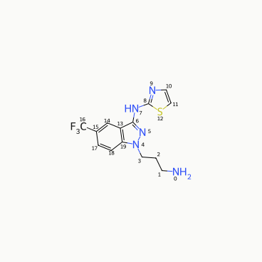 NCCCn1nc(Nc2nccs2)c2cc(C(F)(F)F)ccc21